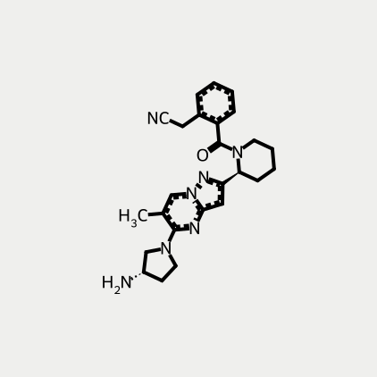 Cc1cn2nc([C@@H]3CCCCN3C(=O)c3ccccc3CC#N)cc2nc1N1CC[C@H](N)C1